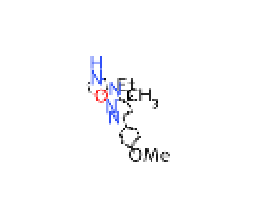 CCN(c1nnc(-c2ccc(OC)cc2)cc1C)C1CNCCO1